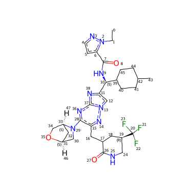 CCn1nccc1C(=O)N[C@H](c1cn2nc(CC3C[C@@H](C(F)(F)F)CNC3=O)c(N3C[C@@H]4C[C@H]3CO4)nc2n1)C1CCC(C)CC1